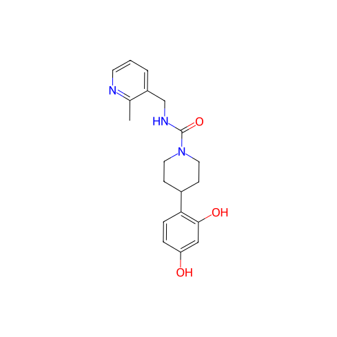 Cc1ncccc1CNC(=O)N1CCC(c2ccc(O)cc2O)CC1